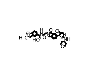 CN(C)Cc1cccc(C(CO)NC(=O)CN2Cc3ccc(-c4nc(NC5CCOCC5)ncc4Cl)cc3C2=O)c1